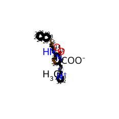 C[N+]1(C/C=C/C2=C(C(=O)[O-])N3C(=O)C(NC(=O)CSc4ccc5ccccc5c4)C3SC2)CCCC1